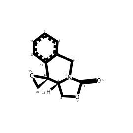 O=C1OC[C@H]2N1Cc1ccccc1[C@]21CO1